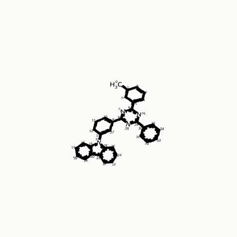 CC1C=CC=C(c2nc(C3=CCCC(n4c5ccccc5c5ccccc54)=C3)nc(-c3ccccc3)n2)C1